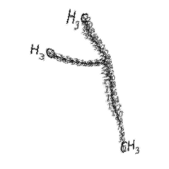 CCCCCCCCCCCCCCCCCCCCCCCCCCC[C](CCCCCCCCCCCCCCCC)CCCCCCCCCCCCCCCC